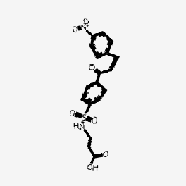 O=C(O)CCNS(=O)(=O)c1ccc(C(=O)/C=C\c2ccc([N+](=O)[O-])cc2)cc1